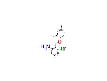 Cc1ccc(OCc2c(N)cccc2Br)c(C)c1